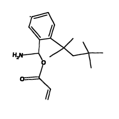 C=CC(=O)OC(N)c1c[c]ccc1C(C)(C)CC(C)(C)C